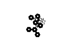 CC1(C)c2ccccc2N(c2ccccc2)c2ccc3c(c21)c1ccccc1n3-c1cc(-c2ccccc2)cc(-c2ccccc2)c1